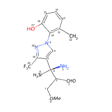 COCC(C=O)[C@](N)([SiH3])c1cn(-c2c(C)cccc2O)nc1C(F)(F)F